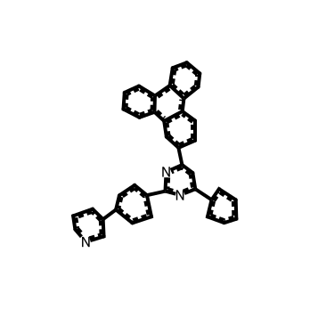 c1ccc(-c2cc(-c3ccc4c5ccccc5c5ccccc5c4c3)nc(-c3ccc(-c4cccnc4)cc3)n2)cc1